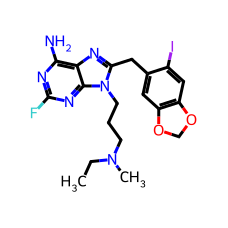 CCN(C)CCCn1c(Cc2cc3c(cc2I)OCO3)nc2c(N)nc(F)nc21